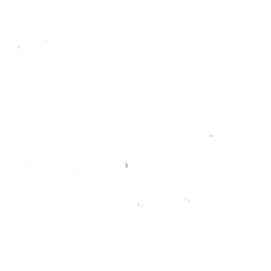 c1ccc(CCOc2cccc(-c3nc4ncc(-c5ccco5)cc4[nH]3)c2)cc1